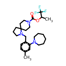 Cc1ccc(CN2CCCC23CCN(C(=O)OC(C)C(F)(F)F)CC3)c(N2CCCCCC2)c1